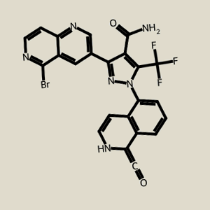 NC(=O)c1c(-c2cnc3ccnc(Br)c3c2)nn(-c2cccc3c2C=CNC3=C=O)c1C(F)(F)F